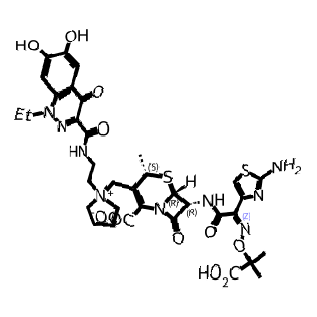 CCn1nc(C(=O)NCC[N+]2(CC3=C(C(=O)[O-])N4C(=O)[C@@H](NC(=O)/C(=N\OC(C)(C)C(=O)O)c5csc(N)n5)[C@H]4S[C@H]3C)CCCC2)c(=O)c2cc(O)c(O)cc21